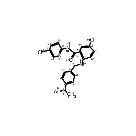 CC(=O)N(C)c1ccc(CNc2ccc(Cl)cc2C(=O)Nc2ccc(Cl)cn2)cc1